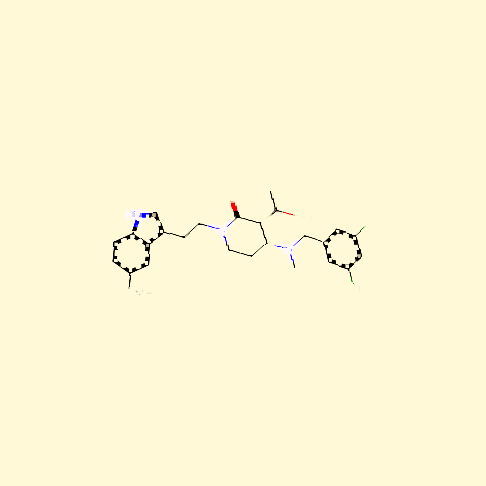 COc1ccc2[nH]cc(CCN3CC[C@H](N(C)Cc4cc(Cl)cc(Cl)c4)[C@H](C(C)O)C3=O)c2c1